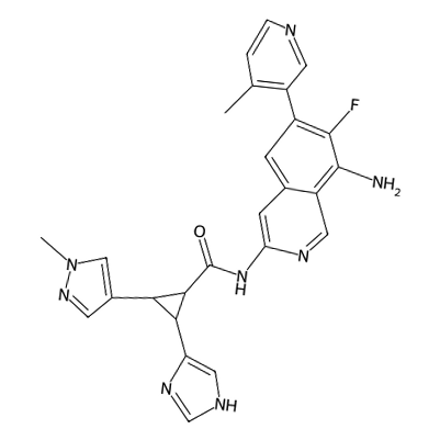 Cc1ccncc1-c1cc2cc(NC(=O)C3C(c4cnn(C)c4)C3c3c[nH]cn3)ncc2c(N)c1F